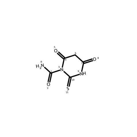 NC(=O)N1C(=O)CC(=O)NC1=S